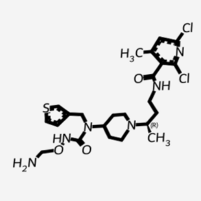 Cc1cc(Cl)nc(Cl)c1C(=O)NCC[C@@H](C)N1CCC(N(Cc2ccsc2)C(=O)NOCN)CC1